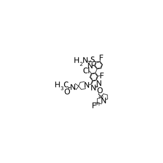 CC(=O)N1CC2(CCN(c3nc(OC[C@@]45CCCN4C[C@H](F)C5)nc4c(F)c(-c5ccc(F)c6sc(N)nc56)c(Cl)cc34)CC2)C1